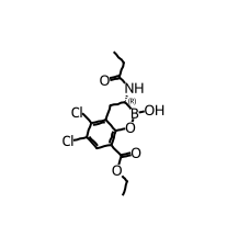 CCOC(=O)c1cc(Cl)c(Cl)c2c1OB(O)[C@@H](NC(=O)CC)C2